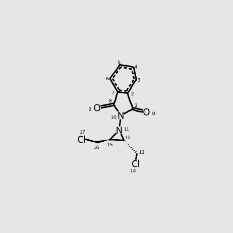 O=C1c2ccccc2C(=O)N1N1[C@H](CCl)[C@H]1CCl